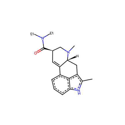 CCN(CC)C(=O)[C@@H]1C=C2c3cccc4[nH]c(C)c(c34)C[C@H]2N(C)C1